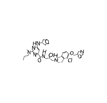 CCCN(C)c1nc(NC2COC2)cc(C(=O)NCC(O)CN2CCc3c(ccc(OCc4cnco4)c3Cl)C2)n1